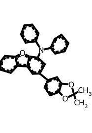 CC1(C)Oc2ccc(-c3cc(N(c4ccccc4)c4ccccc4)c4oc5ccccc5c4c3)cc2O1